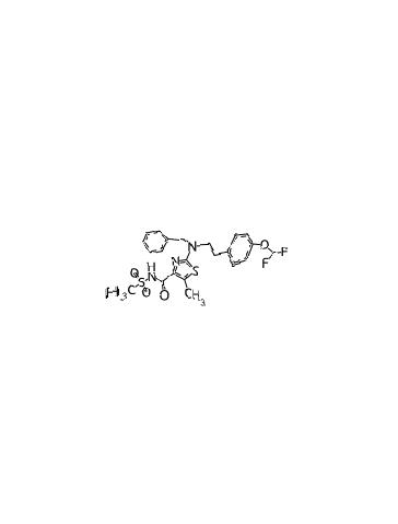 Cc1sc(N(CCc2ccc(OC(F)F)cc2)Cc2ccccc2)nc1C(=O)NS(C)(=O)=O